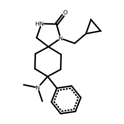 CN(C)C1(c2ccccc2)CCC2(CC1)CNC(=O)N2CC1CC1